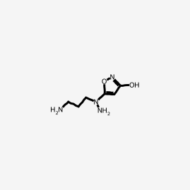 NCCCN(N)c1cc(O)no1